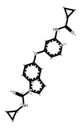 O=C(Nc1cc(Oc2ccc3c(ccn3C(=O)NC3CC3)c2)ccn1)C1CC1